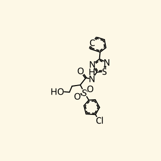 O=C(Nc1nc(-c2ccccc2)ns1)C(CCO)S(=O)(=O)c1ccc(Cl)cc1